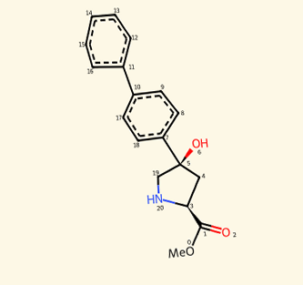 COC(=O)[C@@H]1C[C@@](O)(c2ccc(-c3ccccc3)cc2)CN1